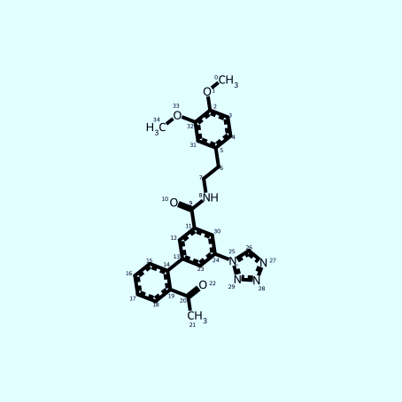 COc1ccc(CCNC(=O)c2cc(-c3ccccc3C(C)=O)cc(-n3cnnn3)c2)cc1OC